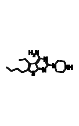 CCCCc1sc2nc(N3CCNCC3)nc(N)c2c1CC